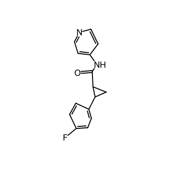 O=C(Nc1ccncc1)C1CC1c1ccc(F)cc1